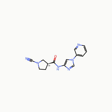 N#CN1CC[C@H](C(=O)Nc2cn(-c3cccnc3)cn2)C1